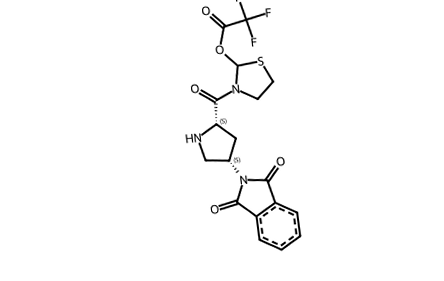 O=C([C@@H]1C[C@H](N2C(=O)c3ccccc3C2=O)CN1)N1CCSC1OC(=O)C(F)(F)F